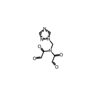 O=CC(=O)N(Cn1cncn1)C(=O)C=O